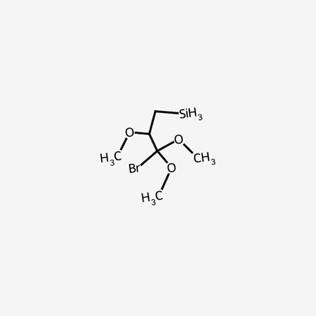 COC(C[SiH3])C(Br)(OC)OC